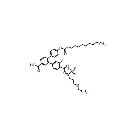 CCCCCCCCCCC(=O)Oc1ccc(-c2ccc(C(=O)O)cc2-c2ccc(C(=O)O[C@H](CCCOCC)C(F)(F)F)c(F)c2)cc1